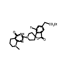 CCOC(=O)Cc1cc(F)c2c(c1)C(=O)OC21CCN(c2nc3c(c(=O)[nH]2)CCCN3C)CC1